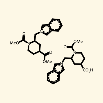 COC(=O)C1CCN(C(=O)OC)C(Cn2cc3ccccc3c2)C1.COC(=O)N1CCC(C(=O)O)CC1Cn1cc2ccccc2c1